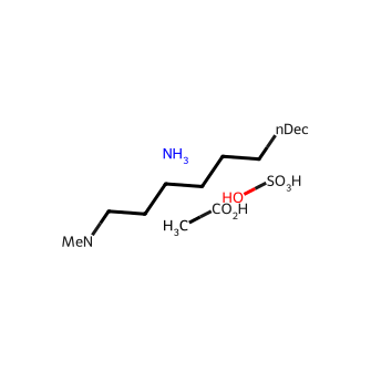 CC(=O)O.CCCCCCCCCCCCCCCCNC.N.O=S(=O)(O)O